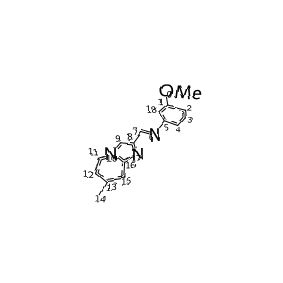 COc1cccc(N=Cc2cn3ccc(C)cc3n2)c1